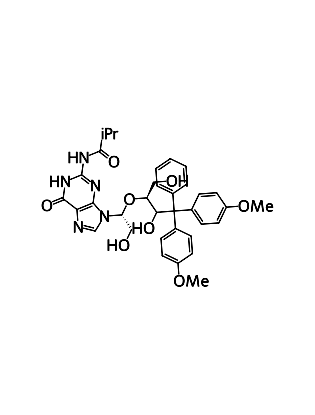 COc1ccc(C(c2ccccc2)(c2ccc(OC)cc2)C(O)[C@H](CO)O[C@H](CO)n2cnc3c(=O)[nH]c(NC(=O)C(C)C)nc32)cc1